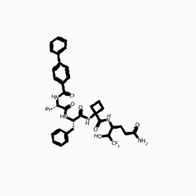 CC(C)[C@H](NC(=O)c1ccc(-c2ccccc2)cc1)C(=O)N[C@@H](Cc1ccccc1)C(=O)NC1(C(=O)NC(CCC(N)=O)C(O)C(F)(F)F)CCC1